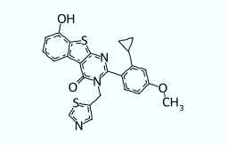 COc1ccc(-c2nc3sc4c(O)cccc4c3c(=O)n2Cc2cncs2)c(C2CC2)c1